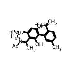 C=C(C)c1ccc(C)cc1-c1c(O)cc(CCCCC)c(C(C)N(C)C(C)=O)c1O